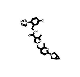 Cc1nc(N2CC3CC3C2)ccc1Cn1cc(C(=O)NCc2cc(Cl)ccc2-n2cnnn2)c(C)n1